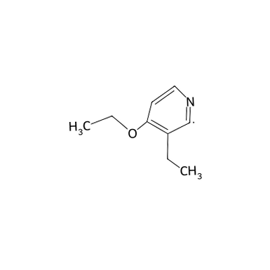 CCOc1ccn[c]c1CC